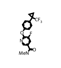 CNC(=O)c1cnc(Oc2ccc(C3(C(F)(F)F)CC3)cc2)c(F)c1